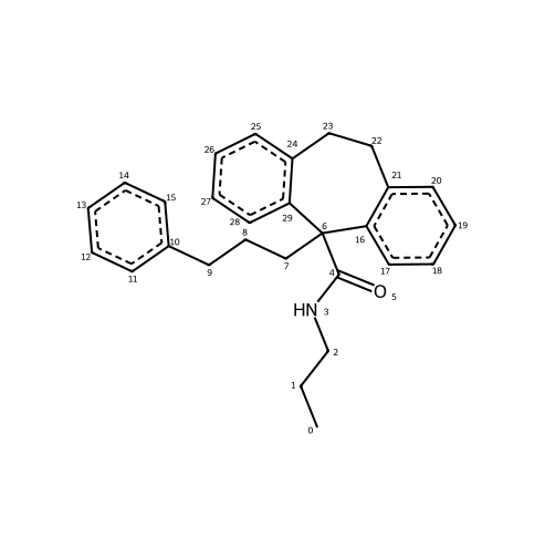 CCCNC(=O)C1(CCCc2ccccc2)c2ccccc2CCc2ccccc21